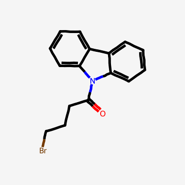 O=C(CCCBr)n1c2ccccc2c2ccccc21